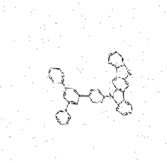 c1ccc(-c2cc(-c3ccccc3)cc(-c3ccc(-n4c5ccccc5c5cc6sc7ccccc7c6cc54)cc3)c2)cc1